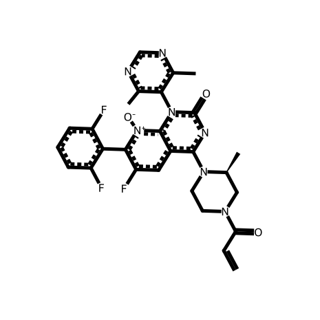 C=CC(=O)N1CCN(c2nc(=O)n(-c3c(C)ncnc3C)c3c2cc(F)c(-c2c(F)cccc2F)[n+]3[O-])[C@@H](C)C1